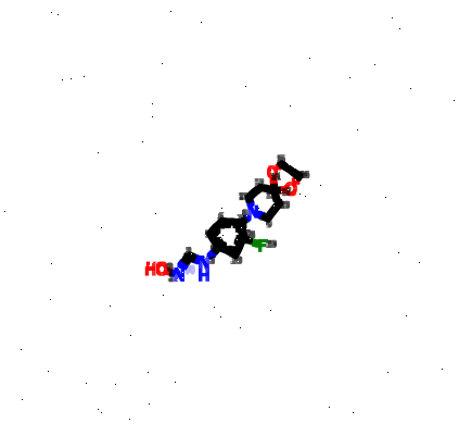 O/N=C/Nc1ccc(N2CCC3(CC2)OCCO3)c(F)c1